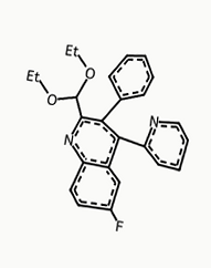 CCOC(OCC)c1nc2ccc(F)cc2c(-c2ccccn2)c1-c1ccccc1